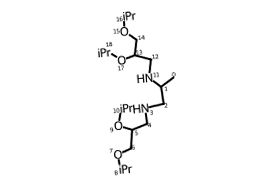 CC(CNCC(COC(C)C)OC(C)C)NCC(COC(C)C)OC(C)C